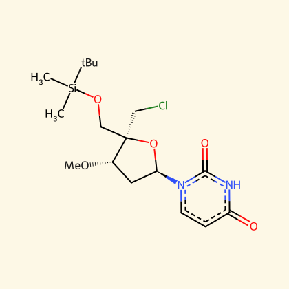 CO[C@H]1C[C@H](n2ccc(=O)[nH]c2=O)O[C@]1(CCl)CO[Si](C)(C)C(C)(C)C